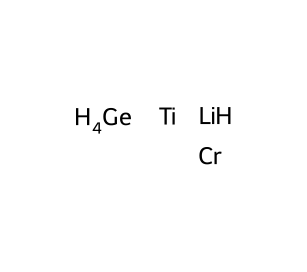 [Cr].[GeH4].[LiH].[Ti]